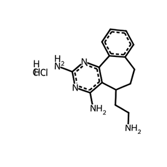 Cl.Cl.NCCC1CCc2ccccc2-c2nc(N)nc(N)c21